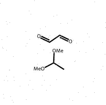 COC(C)OC.O=CC=O